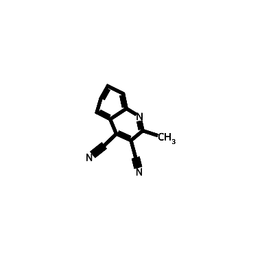 Cc1nc2ccccc2c(C#N)c1C#N